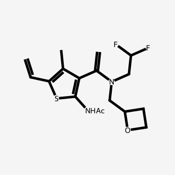 C=Cc1sc(NC(C)=O)c(C(=C)N(CC(F)F)CC2CCO2)c1C